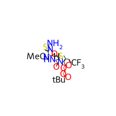 CON=C(C(=O)NC1C(=O)N2C(C(=O)OCOC(=O)C(C)(C)C)=C(C=CC(F)(F)F)CS[C@@H]12)c1csc(N)n1